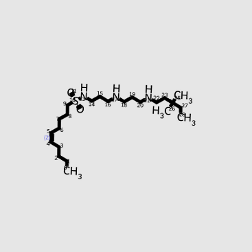 CCCC/C=C\CCCCS(=O)(=O)NCCCNCCCNCCC(C)(C)CC